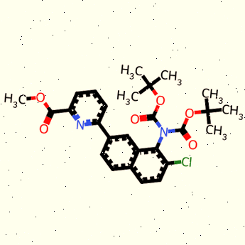 COC(=O)c1cccc(-c2ccc3ccc(Cl)c(N(C(=O)OC(C)(C)C)C(=O)OC(C)(C)C)c3c2)n1